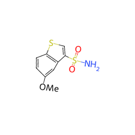 COc1ccc2scc(S(N)(=O)=O)c2c1